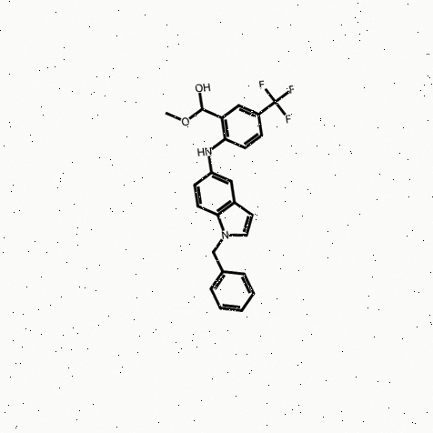 COC(O)c1cc(C(F)(F)F)ccc1Nc1ccc2c(ccn2Cc2ccccc2)c1